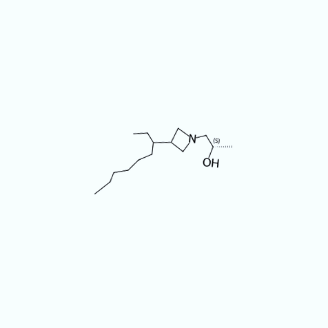 CCCCCCC(CC)C1CN(C[C@H](C)O)C1